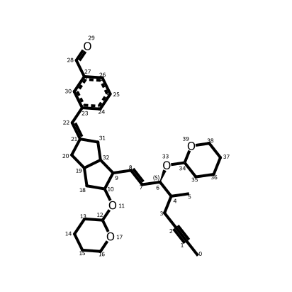 CC#CCC(C)[C@@H](C=CC1C(OC2CCCCO2)CC2CC(=Cc3cccc(C=O)c3)CC21)OC1CCCCO1